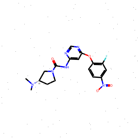 CN(C)[C@H]1CCN(C(=O)Nc2cc(Oc3ccc([N+](=O)[O-])cc3F)ncn2)C1